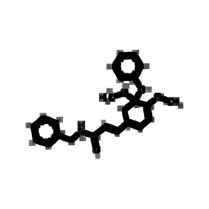 COC1=CC=C(/C=C/C(=O)NCc2ccccc2)CC1(OC)Oc1ccccc1